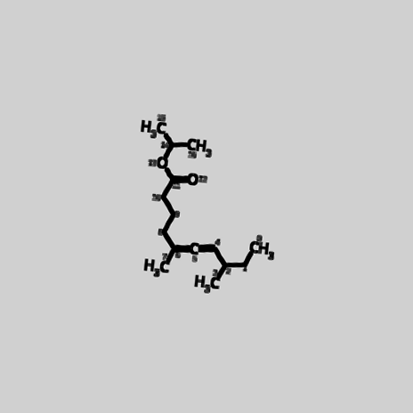 CCC(C)C=C=C(C)CCCC(=O)OC(C)C